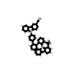 N#Cc1ccc2c(c1)c1ccccc1n2-c1ccc(-c2ccccc2-c2cccc(C#N)c2-n2c3ccccc3c3cccc(C#N)c32)cc1